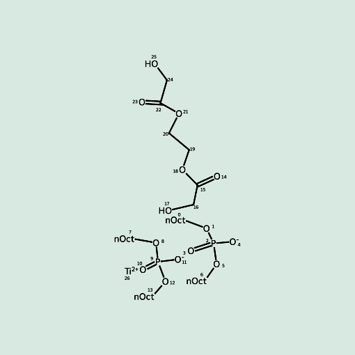 CCCCCCCCOP(=O)([O-])OCCCCCCCC.CCCCCCCCOP(=O)([O-])OCCCCCCCC.O=C(CO)OCCOC(=O)CO.[Ti+2]